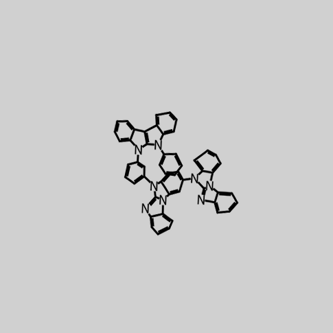 c1ccc(-n2c3ccccc3c3c4ccccc4n(-c4cccc(-n5c6ccc(-n7c8ccccc8n8c9ccccc9nc78)cc6n6c7ccccc7nc56)c4)c32)cc1